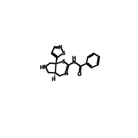 O=C(NC1=NC[C@H]2CNC[C@]2(c2ccns2)S1)c1ccccc1